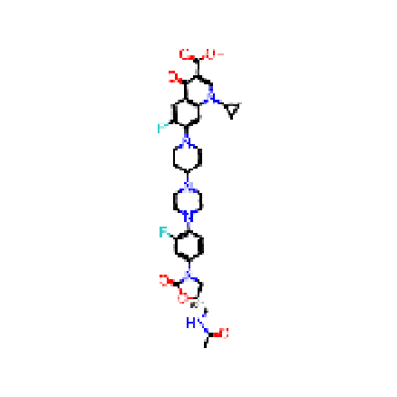 CC(=O)NC[C@H]1CN(c2ccc(N3CCN(C4CCN(c5cc6c(cc5F)c(=O)c(C(=O)O)cn6C5CC5)CC4)CC3)c(F)c2)C(=O)O1